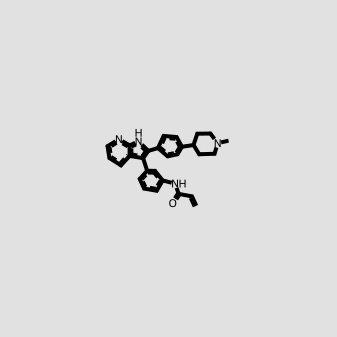 C=CC(=O)Nc1cccc(-c2c(-c3ccc(C4CCN(C)CC4)cc3)[nH]c3ncccc23)c1